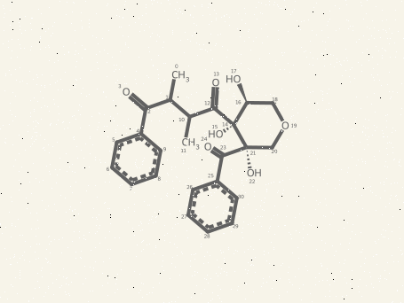 CC(C(=O)c1ccccc1)C(C)C(=O)[C@@]1(O)[C@@H](O)[CH]OC[C@@]1(O)C(=O)c1ccccc1